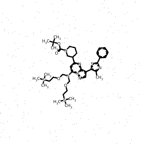 Cc1nc(-c2ccccc2)sc1-c1cnn2c(N(COCC[Si](C)(C)C)COCC[Si](C)(C)C)cc(C3CCCN(C(=O)OC(C)(C)C)C3)nc12